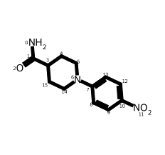 NC(=O)C1CCN(c2ccc([N+](=O)[O-])cc2)CC1